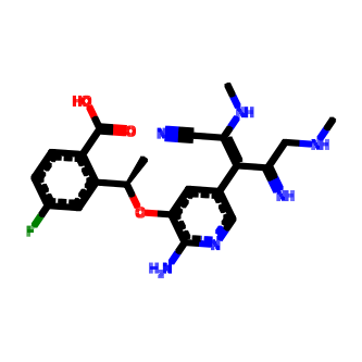 CNCC(=N)/C(=C(/C#N)NC)c1cnc(N)c(O[C@H](C)c2cc(F)ccc2C(=O)O)c1